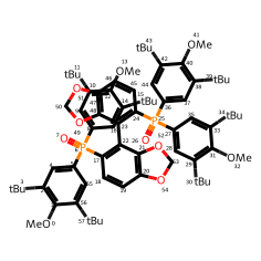 COc1c(C(C)(C)C)cc(P(=O)(c2cc(C(C)(C)C)c(OC)c(C(C)(C)C)c2)c2ccc3c(c2-c2c(P(=O)(c4cc(C(C)(C)C)c(OC)c(C(C)(C)C)c4)c4cc(C(C)(C)C)c(OC)c(C(C)(C)C)c4)ccc4c2OCO4)OCO3)cc1C(C)(C)C